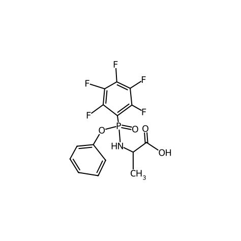 CC(NP(=O)(Oc1ccccc1)c1c(F)c(F)c(F)c(F)c1F)C(=O)O